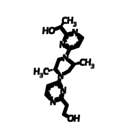 C[C@@H]1CN(c2ccnc([C@@H](C)O)n2)[C@@H](C)CN1c1ccnc(CCO)n1